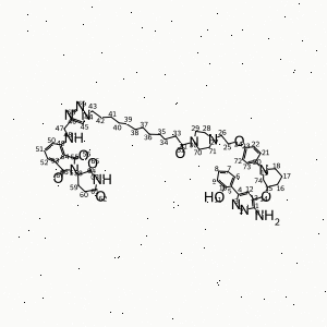 Nc1nnc(-c2ccccc2O)cc1OC1CCCN(c2ccc(OCCN3CCN(C(=O)CCCCCCCCCCCn4cc(CNc5cccc6c5C(=O)N(C5CCC(=O)NC5=O)C6=O)nn4)CC3)cc2)C1